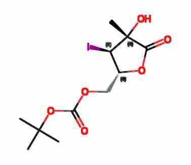 CC(C)(C)OC(=O)OC[C@H]1OC(=O)[C@@](C)(O)[C@@H]1I